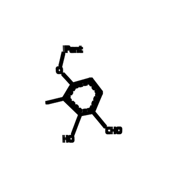 CCCC(C)Oc1ccc(C=O)c(O)c1C